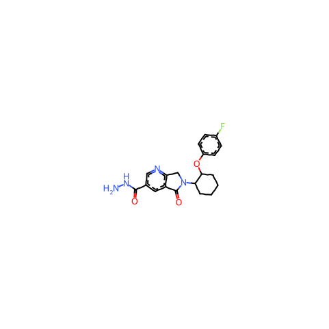 NNC(=O)c1cnc2c(c1)C(=O)N(C1CCCCC1Oc1ccc(F)cc1)C2